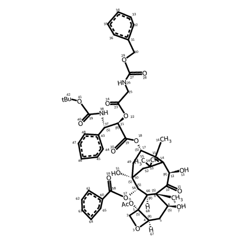 CC(=O)O[C@@]12CO[C@@H]1C[C@H](O)[C@@]1(C)C(=O)[C@H](O)C3=C(C)[C@@H](OC(=O)[C@H](OC(=O)CNC(=O)OCc4ccccc4)[C@@H](NC(=O)OC(C)(C)C)c4ccccc4)C[C@@](O)(CC3(C)C)[C@@H](OC(=O)c3ccccc3)[C@H]21